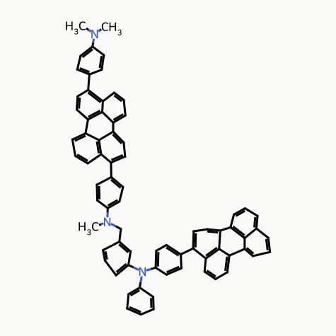 CN(C)c1ccc(-c2ccc3c4cccc5c(-c6ccc(N(C)Cc7cccc(N(c8ccccc8)c8ccc(-c9ccc%10c%11cccc%12cccc(c%13cccc9c%13%10)c%12%11)cc8)c7)cc6)ccc(c6cccc2c63)c54)cc1